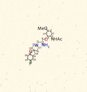 COc1ccc(NC(C)=O)c(OC[C@H](N)CN2CCC3(CC2)Cc2cc(F)ccc2O3)c1